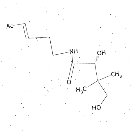 CC(=O)C=CCCNC(=O)[C@H](O)C(C)(C)CO